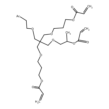 C=CC(=O)OCCCOCC(COCCCOC(=O)C=C)(COCCC(C)=O)COCC(C)OC(=O)C=C